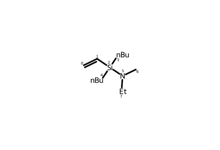 C=C[Si](CCCC)(CCCC)N(C)CC